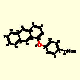 CCCCCCCCCc1ccc(Oc2cccc3cc4ccccc4cc23)cc1